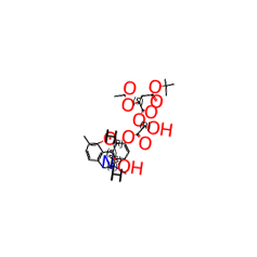 CC(=O)O[C@@H](CC(=O)OC(C)(C)C)C(=O)O[C@@H](O)C(=O)OC1=CC[C@@]2(O)[C@H]3Cc4ccc(C)c5c4[C@@]2(CCN3C)[C@H]1O5